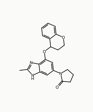 Cc1nc2c(OC3CCOc4ccccc43)cc(N3CCCC3=O)cc2[nH]1